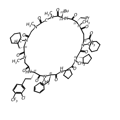 CC[C@H](C)[C@@H]1NC(=O)[C@H](CC(C)C)N(C)C(=O)C[C@@H](C(=O)N2CCCCC2)N(C)C(=O)[C@H](C2CCCC2)N(C)C(=O)C2(CCCC2)NC(=O)[C@@H](Cc2ccccc2)N(C)C(=O)[C@H](CCc2ccc(C(F)(F)F)c(Cl)c2)NC(=O)CN(C)C(=O)[C@H](CC2CCCCC2)N(C)C(=O)CN(C)C(=O)CN(C)C1=O